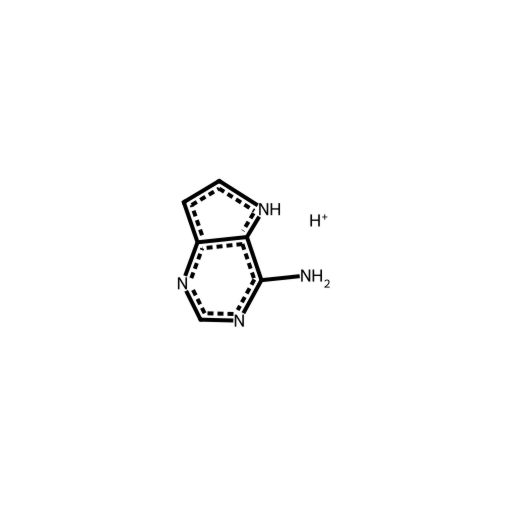 Nc1ncnc2cc[nH]c12.[H+]